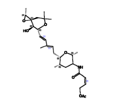 CC(=O)OC/C=C\C(=O)NC1C[C@H](C)[C@H](C/C=C(C)/C=C/[C@H]2OC(C)(C)C[C@]3(O[C@@H]3C)[C@@H]2O)O[C@@H]1C